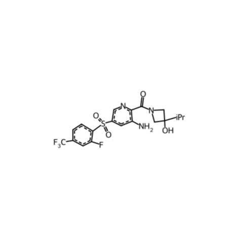 CC(C)C1(O)CN(C(=O)c2ncc(S(=O)(=O)c3ccc(C(F)(F)F)cc3F)cc2N)C1